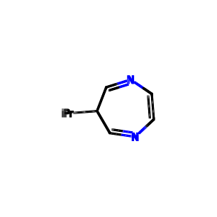 CC(C)C1C=NC=CN=C1